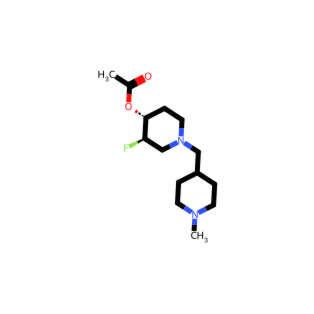 CC(=O)O[C@@H]1CCN(CC2CCN(C)CC2)C[C@H]1F